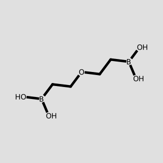 OB(O)CCOCCB(O)O